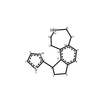 c1csc(C2CCc3ccc4c(c32)CCNCC4)n1